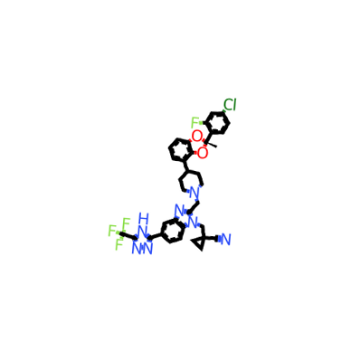 C[C@]1(c2ccc(Cl)cc2F)Oc2cccc(C3CCN(Cc4nc5cc(-c6nnc(C(F)(F)F)[nH]6)ccc5n4CC4(C#N)CC4)CC3)c2O1